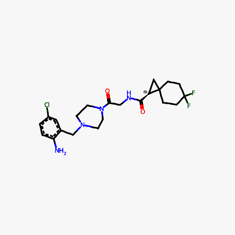 Nc1ccc(Cl)cc1CN1CCN(C(=O)CNC(=O)[C@H]2CC23CCC(F)(F)CC3)CC1